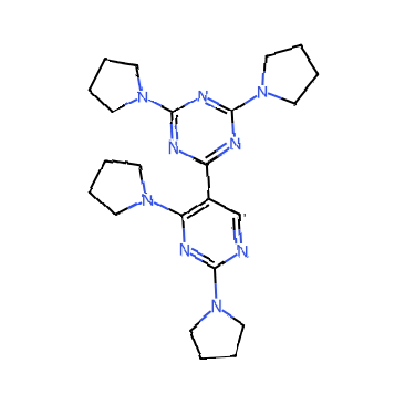 [c]1nc(N2CCCC2)nc(N2CCCC2)c1-c1nc(N2CCCC2)nc(N2CCCC2)n1